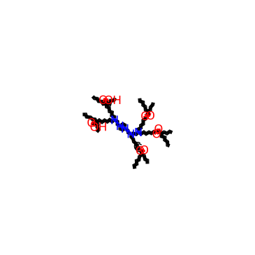 CCCCCCC(CCCC)C(=O)OCCCCCCN(CCCCCCOC(=O)C(CCCC)CCCCCC)CCN(CCCCCCOC(=O)C(CCCC)CCCCCC)CCN1CCN(CCN(CCCCCCC(CCCC)(CCCCCC)C(=O)O)CCCCCCC(CCCC)(CCCCCC)C(=O)O)CC1